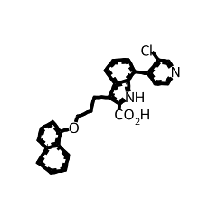 O=C(O)c1[nH]c2c(-c3ccncc3Cl)cccc2c1CCCOc1cccc2ccccc12